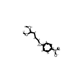 COC(CCCOc1ccc([N+](=O)[O-])cc1)OC